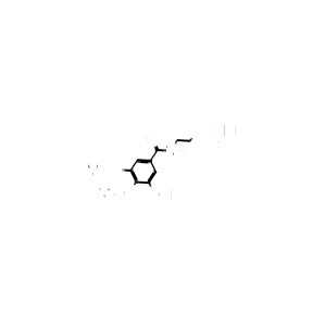 CCOC(=O)CCNC(=O)c1cc(O)c(OC)c(OC)c1